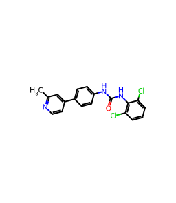 Cc1cc(-c2ccc(NC(=O)Nc3c(Cl)cccc3Cl)cc2)ccn1